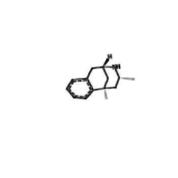 C[C@@H]1C[C@]2(C)C[C@H](Cc3ccccc32)N1